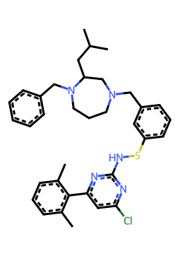 Cc1cccc(C)c1-c1cc(Cl)nc(NSc2cccc(CN3CCCN(Cc4ccccc4)C(CC(C)C)C3)c2)n1